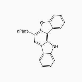 CCCCCc1cc2c3ccccc3[nH]c2c2c1oc1ccccc12